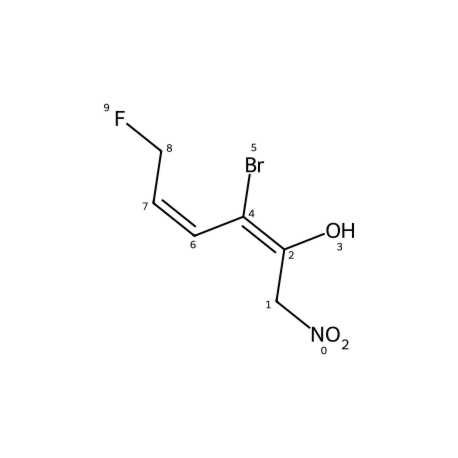 O=[N+]([O-])C/C(O)=C(Br)\C=C/CF